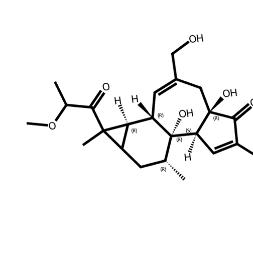 COC(C)C(=O)C1(C)C2C[C@@H](C)[C@@]3(O)[C@@H](C=C(CO)C[C@]4(O)C(=O)C(C)=C[C@@H]34)[C@@H]21